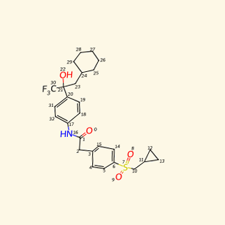 O=C(Cc1ccc(S(=O)(=O)CC2CC2)cc1)Nc1ccc(C(O)(CC2CCCCC2)C(F)(F)F)cc1